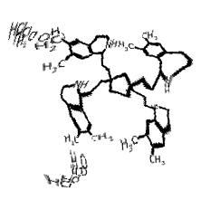 Cc1cc2c(cc1C)C(CCC1(CCC3NCCc4cc(C)c(C)cc43)CCC(CCC3NCCc4cc(C)c(C)cc43)(CCC3NCCc4cc(C)c(C)cc43)C1)NCC2.Cl.Cl.Cl.Cl.O.O.O.O